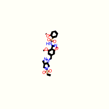 C=CS(=O)(=O)N1Cc2cnn(Cc3cc(OC)c4c(NS(=O)(=O)c5ccccc5OC)noc4c3)c2C1